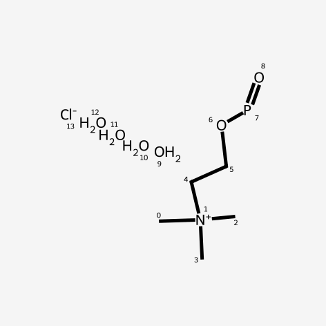 C[N+](C)(C)CCOP=O.O.O.O.O.[Cl-]